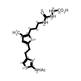 CC(=O)Nc1nc(CCc2cc(C)c(CCCNC(=O)NNC(=O)O)s2)cs1